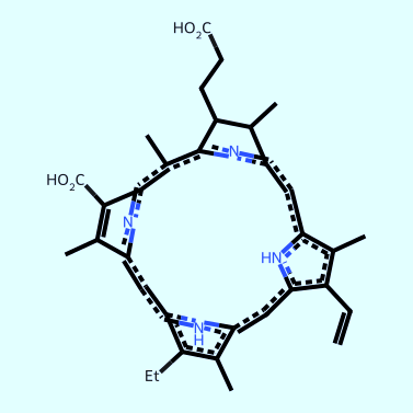 C=Cc1c(C)c2cc3nc(c(C)c4nc(cc5[nH]c(cc1[nH]2)c(C)c5CC)C(C)=C4C(=O)O)C(CCC(=O)O)C3C